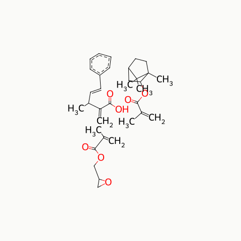 C=C(C(=O)O)C(C)C=Cc1ccccc1.C=C(C)C(=O)OC1CC2CCC1(C)C2(C)C.C=C(C)C(=O)OCC1CO1